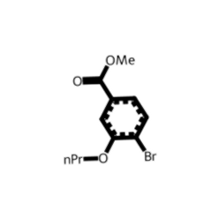 CCCOc1cc(C(=O)OC)ccc1Br